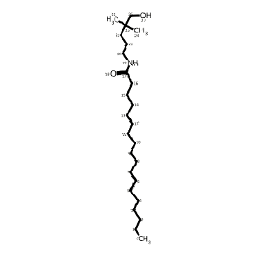 CCCCCCCCCCCCCCCCCC(=O)NCCCC(C)(C)CO